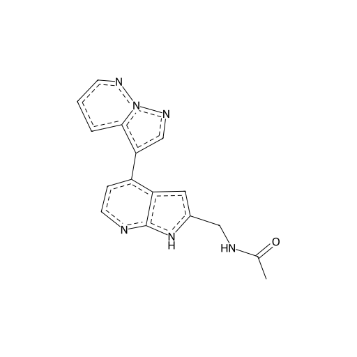 CC(=O)NCc1cc2c(-c3cnn4ncccc34)ccnc2[nH]1